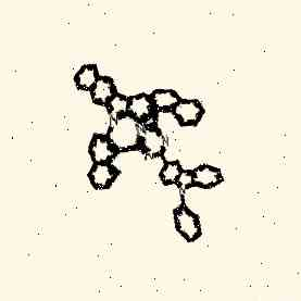 c1ccc(-n2c3ccccc3c3cc(-c4nc(-c5cccc6ccccc56)nc(-c5c(-n6c7ccccc7c7cc8ccccc8cc76)ccc6ccccc56)n4)ccc32)cc1